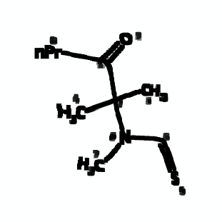 CCCC(=O)C(C)(C)N(C)C=S